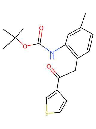 Cc1ccc(CC(=O)c2ccsc2)c(NC(=O)OC(C)(C)C)c1